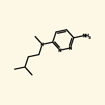 CC(C)CCN(C)c1ccc(N)nn1